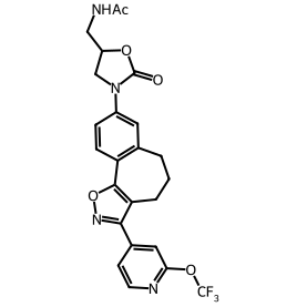 CC(=O)NCC1CN(c2ccc3c(c2)CCCc2c(-c4ccnc(OC(F)(F)F)c4)noc2-3)C(=O)O1